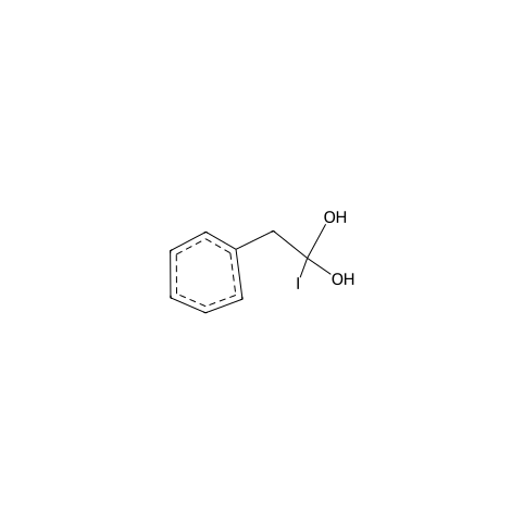 OC(O)(I)Cc1ccccc1